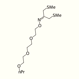 CCCOCCOCCOCCON=C(CSC)CSC